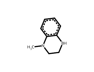 CN1CCBc2ccccc21